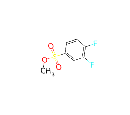 COS(=O)(=O)c1ccc(F)c(F)c1